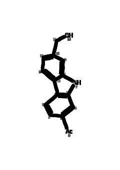 CC(=O)c1ccc2c(c1)[nH]c1cc(CO)ccc12